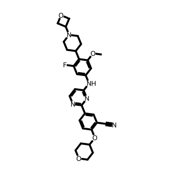 COc1cc(Nc2ccnc(-c3ccc(OC4CCOCC4)c(C#N)c3)n2)cc(F)c1C1CCN(C2COC2)CC1